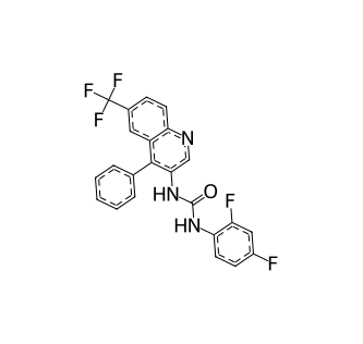 O=C(Nc1ccc(F)cc1F)Nc1cnc2ccc(C(F)(F)F)cc2c1-c1ccccc1